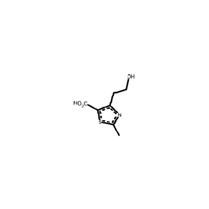 Cc1nc(CCO)c(C(=O)O)s1